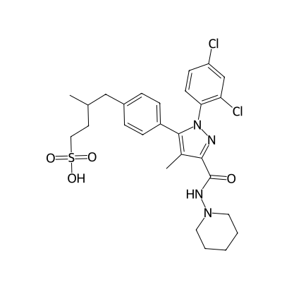 Cc1c(C(=O)NN2CCCCC2)nn(-c2ccc(Cl)cc2Cl)c1-c1ccc(CC(C)CCS(=O)(=O)O)cc1